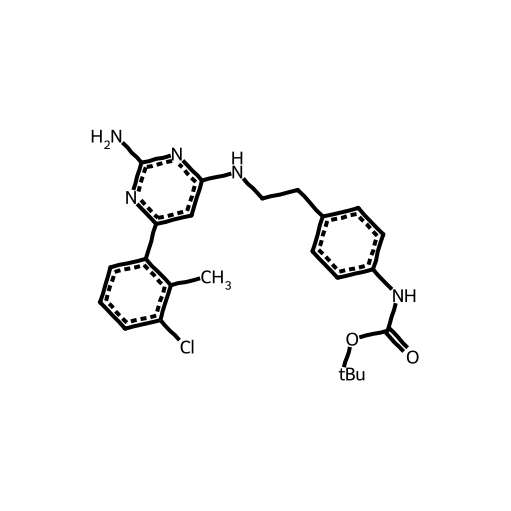 Cc1c(Cl)cccc1-c1cc(NCCc2ccc(NC(=O)OC(C)(C)C)cc2)nc(N)n1